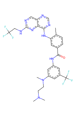 Cc1ccc(C(=O)Nc2cc(N(C)CCN(C)C)cc(C(F)(F)F)c2)cc1Nc1ncnc2cnc(NCC(F)(F)F)nc12